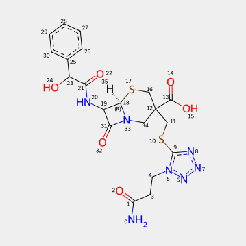 NC(=O)CCn1nnnc1SCC1(C(=O)O)CS[C@@H]2C(NC(=O)C(O)c3ccccc3)C(=O)N2C1